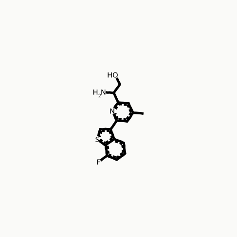 Cc1cc(-c2csc3c(F)cccc23)nc(C(N)CO)c1